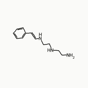 NCCNCCNC=Cc1ccccc1